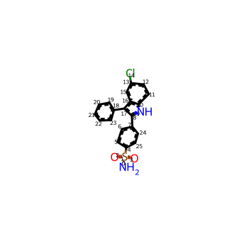 NS(=O)(=O)c1ccc(-c2[nH]c3ccc(Cl)cc3c2-c2ccccc2)cc1